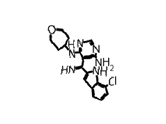 N=C(c1cc2cccc(Cl)c2[nH]1)c1c(N)ncnc1NC1CCOCC1